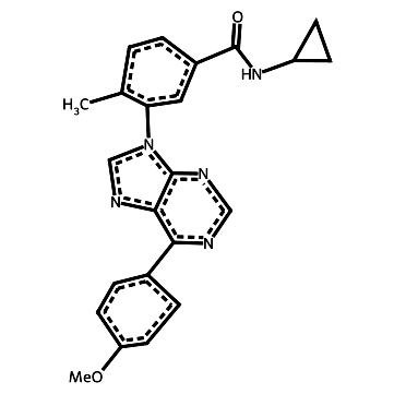 COc1ccc(-c2ncnc3c2ncn3-c2cc(C(=O)NC3CC3)ccc2C)cc1